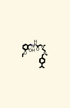 CCOc1cccc(/C=N/NC(=O)CN(C)CCN(C)Cc2ccc(C(C)C)cc2)c1O